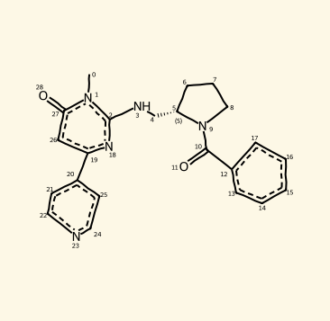 Cn1c(NC[C@@H]2CCCN2C(=O)c2ccccc2)nc(-c2ccncc2)cc1=O